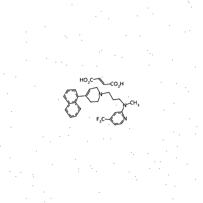 CN(CCCN1CC=C(c2cccc3ccccc23)CC1)c1cc(C(F)(F)F)ccn1.O=C(O)C=CC(=O)O